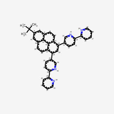 CC(C)(C)c1cc2ccc3c(-c4ccc(-c5ccccn5)nc4)cc(-c4ccc(-c5ccccn5)nc4)c4ccc(c1)c2c34